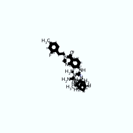 Cc1ccc(CCn2cnc3cc(N/C(=N/[C@H]4C[C@@H]5C[C@H]([C@@H]4C)C5(C)C)N(N)C(=N)N)ccc3c2=O)c(F)c1